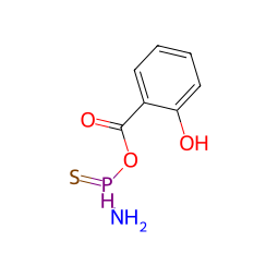 N[PH](=S)OC(=O)c1ccccc1O